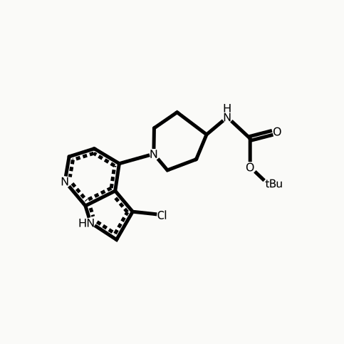 CC(C)(C)OC(=O)NC1CCN(c2ccnc3[nH]cc(Cl)c23)CC1